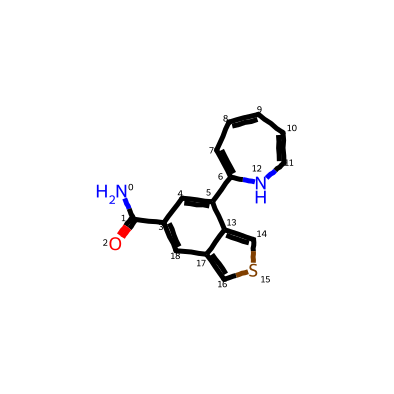 NC(=O)c1cc(C2=CC=CC=CN2)c2cscc2c1